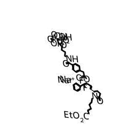 CCOC(=O)CCCCCCN1C(=O)CC[C@@H]1/C=C/[C@@H](OC(=O)Cc1ccc(C(=O)NCCCCCC(O)(P(=O)([O-])O)P(=O)([O-])O)cc1)C(F)(F)c1ccccc1.[Na+].[Na+]